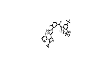 COc1c(NC(=O)c2ccc(C)c(N3C=C(c4cnn(C5CC5)c4C4CC=CC=N4)NN3)c2)cc(C(C)(C)C)cc1NS(C)(=O)=O